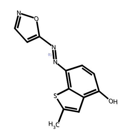 Cc1cc2c(O)ccc(/N=N/c3ccno3)c2s1